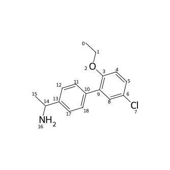 CCOc1ccc(Cl)cc1-c1ccc(C(C)N)cc1